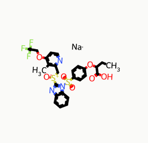 CCC(Oc1ccc(S(=O)(=O)n2c([S+]([O-])Cc3nccc(OCC(F)(F)F)c3C)nc3ccccc32)cc1)C(=O)O.[Na]